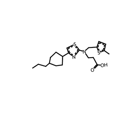 CCCC1CCC(c2csc(N(CCC(=O)O)Cc3ccc(C)s3)n2)CC1